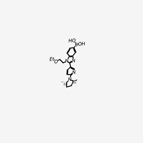 CCOCCn1c(-c2ccc(N3[C@@H](C)CC[C@@H]3C)nc2)nc2cc(B(O)O)ccc21